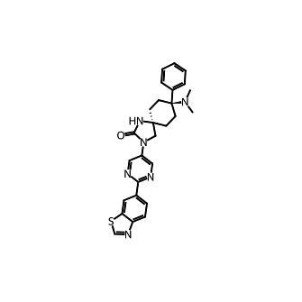 CN(C)[C@]1(c2ccccc2)CC[C@]2(CC1)CN(c1cnc(-c3ccc4ncsc4c3)nc1)C(=O)N2